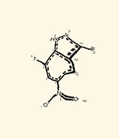 O=[N+]([O-])c1cc(F)c2[nH]nc(Br)c2c1